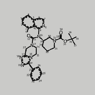 Cc1cccc2ccnc(N(C(=O)N3CCn4c(nnc4-c4ccccc4)C3)[C@@H]3CCCN(C(=O)OC(C)(C)C)C3)c12